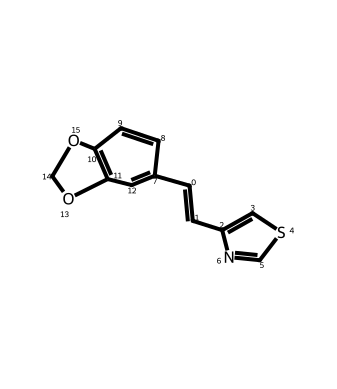 C(=Cc1cscn1)c1ccc2c(c1)OCO2